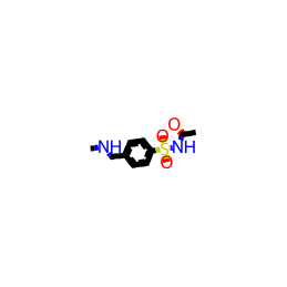 CNCc1ccc(S(=O)(=O)NC(C)=O)cc1